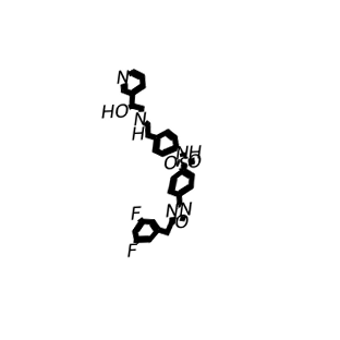 O=S(=O)(Nc1ccc(CCNCC(O)c2cccnc2)cc1)c1ccc(-c2noc(Cc3cc(F)cc(F)c3)n2)cc1